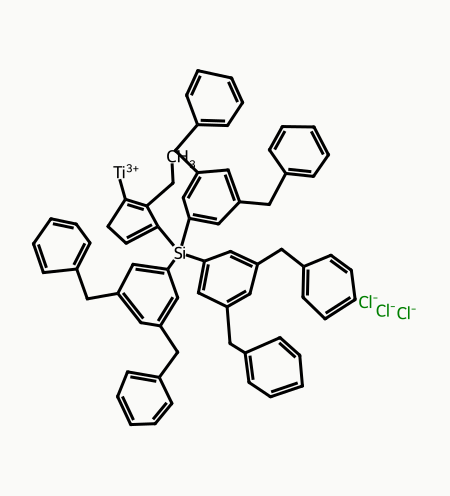 CCC1=[C]([Ti+3])CC=C1[Si](c1cc(Cc2ccccc2)cc(Cc2ccccc2)c1)(c1cc(Cc2ccccc2)cc(Cc2ccccc2)c1)c1cc(Cc2ccccc2)cc(Cc2ccccc2)c1.[Cl-].[Cl-].[Cl-]